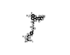 CC[C@@]1(O)C(=O)OCc2c1cc1n(c2=O)Cc2c-1nc1cc(F)c(C)c3c1c2[C@@H](NC(=O)COCNC(=O)OCc1ccc(NC(=O)[C@H](C)NC(=O)[C@@H](N)C(C)C)cc1)CC3